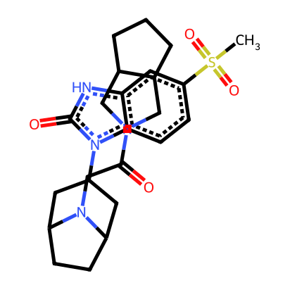 CS(=O)(=O)c1ccc2c(c1)[nH]c(=O)n2C1CC2CCC(C1)N2CC(=O)N1CC2CCCC2C1